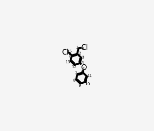 ClCc1cc(Oc2ccccc2)ccc1Cl